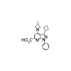 CC1CN(c2cc(C(=O)O)nc3c2c(C2CCC2)nn3-c2ccccc2)C1